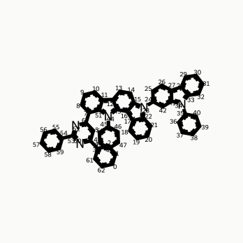 c1ccc(-c2cc(-c3cccc4c5ccc6c(c7ccccc7n6-c6ccc7c8ccccc8n(-c8ccccc8)c7c6)c5n(-c5ccccc5)c34)nc(-c3ccccc3)n2)cc1